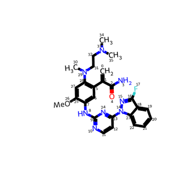 C=C(C(N)=O)c1cc(Nc2nccc(-n3nc(F)c4ccccc43)n2)c(OC)cc1N(C)CCN(C)C